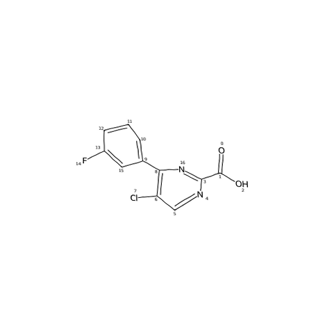 O=C(O)c1ncc(Cl)c(-c2cccc(F)c2)n1